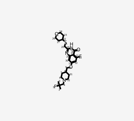 CC(C)(F)CN1CCC(COc2cc(F)c3c(=O)[nH]c(CSC4CCOCC4)nc3c2)CC1